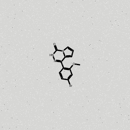 COc1cc(Br)ccc1-c1n[nH]c(=O)n2cccc12